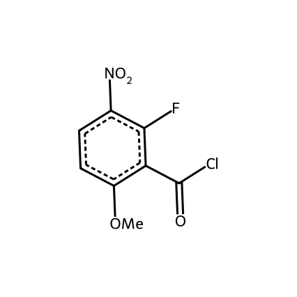 COc1ccc([N+](=O)[O-])c(F)c1C(=O)Cl